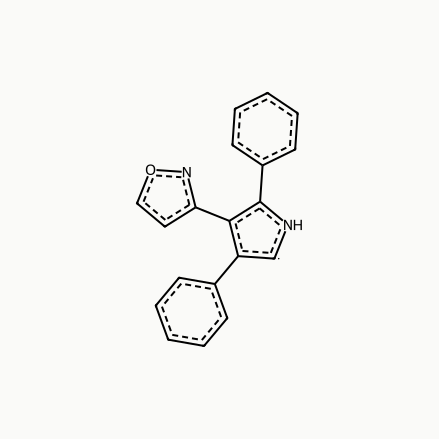 [c]1[nH]c(-c2ccccc2)c(-c2ccon2)c1-c1ccccc1